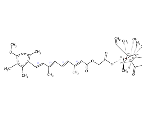 C=C[C@]1(C)C[C@@H](OC(=O)COC(=O)/C=C(C)/C=C/C=C(C)/C=C/c2c(C)cc(OC)c(C)c2C)[C@]2(C)CC[C@@H](C)C3(CCC(=O)[C@H]32)[C@@H](C)[C@@H]1O